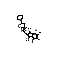 O=C1C(=Cc2nc3oc(-c4ccccc4)cc3o2)C(=O)c2c(F)c(F)c(F)c(F)c21